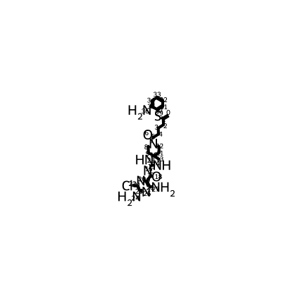 C=C(CCCC(=O)N1CCC2(CC1)CN/C(=N\C(=O)c1nc(Cl)c(N)nc1N)N2)Sc1ccccc1N